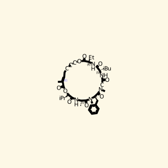 CCC(C)[C@@H]1NC(=O)CN(C)C(=O)[C@@H](Cc2ccccc2)N(C)C(=O)[C@H](C)NC(=O)[C@@H](C(C)C)OC(=O)/C(C)=C/CCCCOC(=O)[C@@H](CC)NC1=O